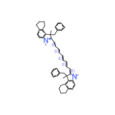 CN1/C(=C/C=C/C=C/C=C/C=C/C2=[N+](C)c3ccc4c(c3C2(C)Cc2ccccc2)CCCC4)C(C)(Cc2ccccc2)c2c1ccc1c2CCCC1